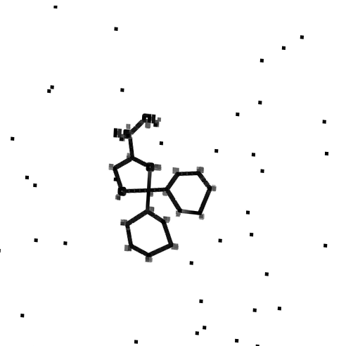 [CH2][SiH2]C1COC(C2CCCCC2)(C2CCCCC2)O1